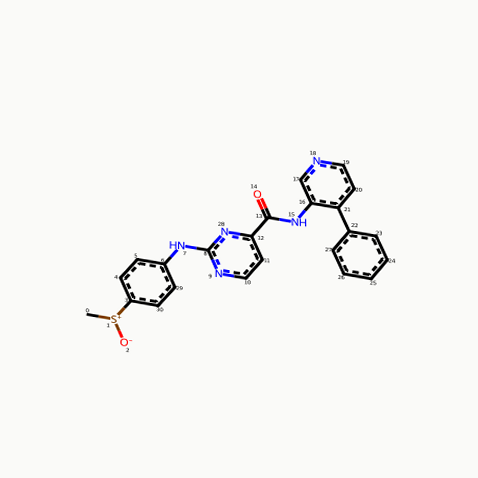 C[S+]([O-])c1ccc(Nc2nccc(C(=O)Nc3cnccc3-c3ccccc3)n2)cc1